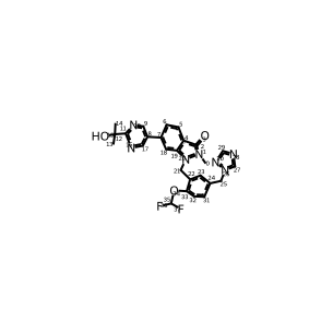 Cn1c(=O)c2ccc(-c3cnc(C(C)(C)O)nc3)cc2n1Cc1cc(Cn2cncn2)ccc1OC(F)F